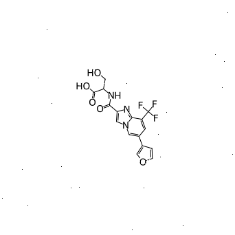 O=C(NC(CO)C(=O)O)c1cn2cc(-c3ccoc3)cc(C(F)(F)F)c2n1